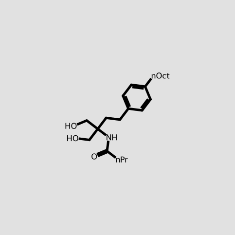 CCCCCCCCc1ccc(CCC(CO)(CO)NC(=O)CCC)cc1